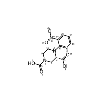 O=C(O)[C@@H]1CN(C(=O)O)CCN1c1ncccc1[N+](=O)[O-]